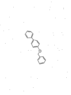 c1ccc(COc2ccc(-c3ccccc3)cc2)cc1